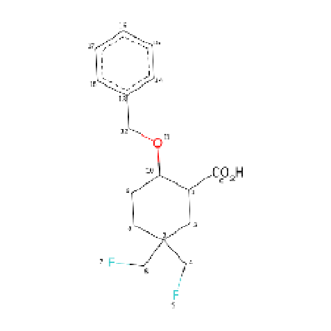 O=C(O)C1CC(CF)(CF)CCC1OCc1ccccc1